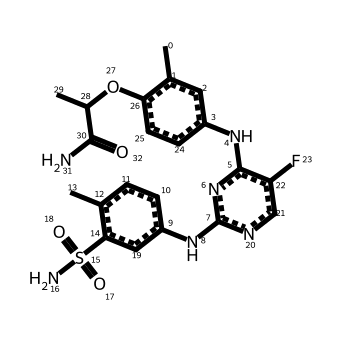 Cc1cc(Nc2nc(Nc3ccc(C)c(S(N)(=O)=O)c3)ncc2F)ccc1OC(C)C(N)=O